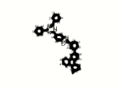 C1=c2ccc3c(c4c(c5cc(-c6cccc(-c7nc8cc(-c9nc(-c%10ccccc%10)nc(-c%10ccccc%10)n9)ccc8o7)c6)ccc53)CCC=C4)c2=1